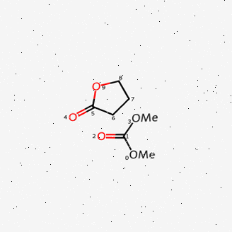 COC(=O)OC.O=C1CCCO1